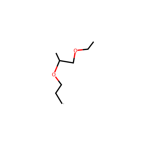 [CH2]CCOC(C)COCC